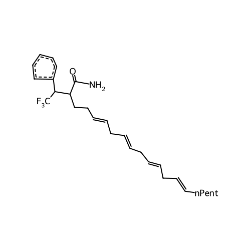 CCCCCC=CCC=CCC=CCC=CCCC(C(N)=O)C(c1ccccc1)C(F)(F)F